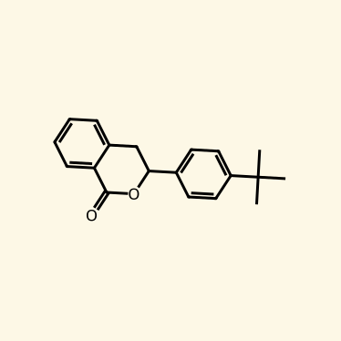 CC(C)(C)c1ccc(C2Cc3ccccc3C(=O)O2)cc1